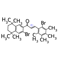 Cc1c(C)c(C)c(/C=C/C(=O)c2cc3c(cc2Br)C(C)(C)CCC3(C)C)c(Br)c1C